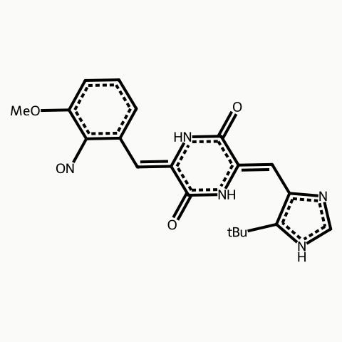 COc1cccc(/C=c2\[nH]c(=O)/c(=C/c3nc[nH]c3C(C)(C)C)[nH]c2=O)c1N=O